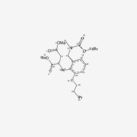 COC(=O)CC(Nc1c(CN(C)C(=O)OC(C)(C)C)cccc1OCCC(C)C)C(=O)OC